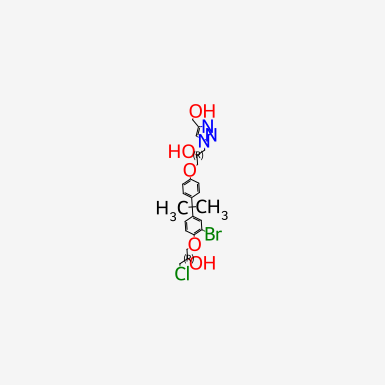 CC(C)(c1ccc(OC[C@H](O)Cn2cc(CO)nn2)cc1)c1ccc(OC[C@@H](O)CCl)c(Br)c1